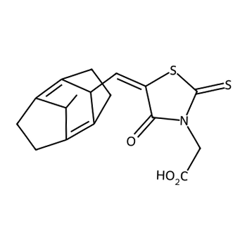 CC1C2=C3CCC(=C1CC2)C3C=C1SC(=S)N(CC(=O)O)C1=O